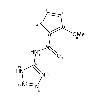 COc1ccsc1C(=O)Nc1nnn[nH]1